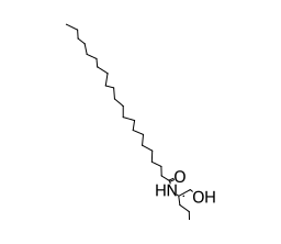 CCCCCCCCCCCCCCCCCCCCCC(=O)N[C](CO)CCC